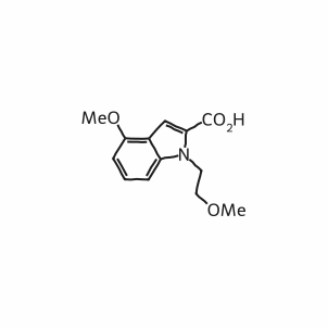 COCCn1c(C(=O)O)cc2c(OC)cccc21